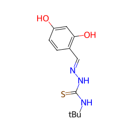 CC(C)(C)NC(=S)N/N=C/c1ccc(O)cc1O